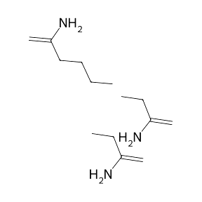 C=C(N)CC.C=C(N)CC.C=C(N)CCCC